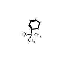 C[N+](C)(C)C1=CC=CCC1